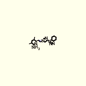 Cc1cc(C)c(/C=C/n2cnc(-n3nnc4ccccc43)c2)nc1N